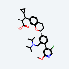 COc1cc(-c2ccc([C@H]3CCc4ccc(C(C5CC5)[C@H](C)C(=O)O)cc4O3)cc2CN(C(C)C)C(C)C)c(F)cn1